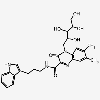 Cc1cc2nc(C(=O)NCCCc3c[nH]c4ccccc34)c(=O)n(CC(O)C(O)C(O)CO)c2cc1C